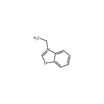 CC[n+]1coc2ccccc21